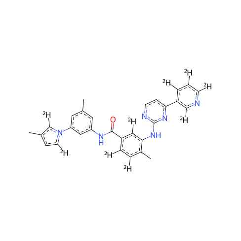 [2H]c1nc([2H])c(-c2ccnc(Nc3c([2H])c(C(=O)Nc4cc(C)cc(-n5c([2H])cc(C)c5[2H])c4)c([2H])c([2H])c3C)n2)c([2H])c1[2H]